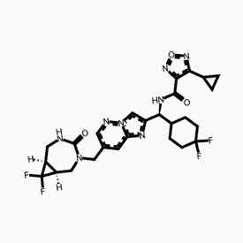 O=C(N[C@H](c1cn2ncc(CN3C[C@@H]4[C@H](CNC3=O)C4(F)F)cc2n1)C1CCC(F)(F)CC1)c1nonc1C1CC1